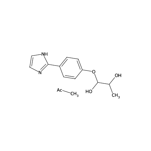 CC(C)=O.CC(O)C(O)Oc1ccc(-c2ncc[nH]2)cc1